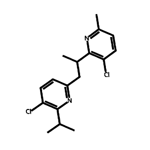 Cc1ccc(Cl)c(C(C)Cc2ccc(Cl)c(C(C)C)n2)n1